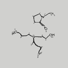 CN1CCCC1=O.OCCN(CCO)CCO